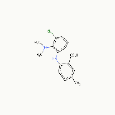 Cc1ccc(Nc2cccc(Cl)c2N(C)C)c(C(=O)O)c1